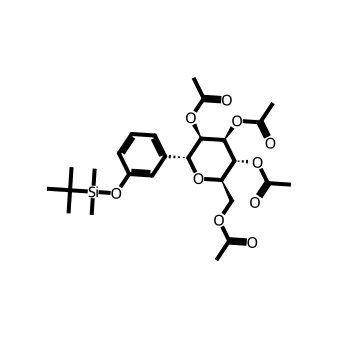 CC(=O)OC[C@H]1O[C@H](c2cccc(O[Si](C)(C)C(C)(C)C)c2)[C@@H](OC(C)=O)[C@@H](OC(C)=O)[C@@H]1OC(C)=O